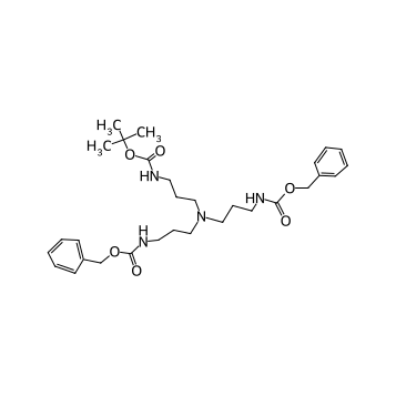 CC(C)(C)OC(=O)NCCCN(CCCNC(=O)OCc1ccccc1)CCCNC(=O)OCc1ccccc1